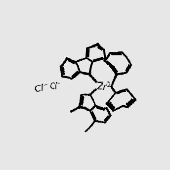 CC1=C[CH]([Zr+2](=[C](c2ccccc2)c2ccccc2)[CH]2c3ccccc3-c3ccccc32)c2cccc(C)c21.[Cl-].[Cl-]